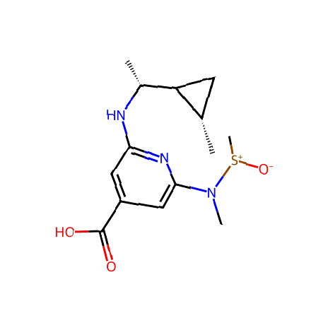 C[C@H]1CC1[C@@H](C)Nc1cc(C(=O)O)cc(N(C)[S+](C)[O-])n1